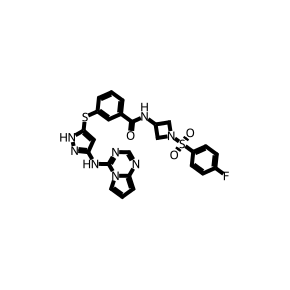 O=C(NC1CN(S(=O)(=O)c2ccc(F)cc2)C1)c1cccc(Sc2cc(Nc3ncnc4cccn34)n[nH]2)c1